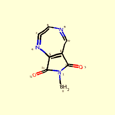 BN1C(=O)C2=C(N=C=CN=C2)C1=O